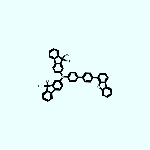 CC1(C)c2ccccc2-c2ccc(N(c3ccc(-c4ccc(-c5cccc6c5oc5ccccc56)cc4)cc3)c3ccc4c(c3)C(C)(C)c3ccccc3-4)cc21